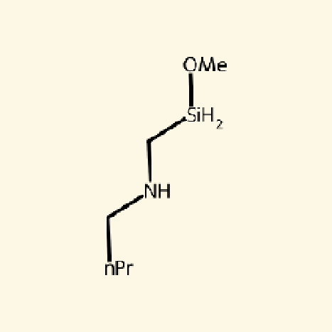 CCCCNC[SiH2]OC